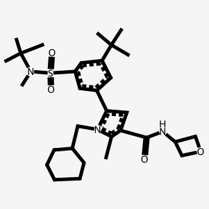 Cc1c(C(=O)NC2COC2)cc(-c2cc(C(C)(C)C)cc(S(=O)(=O)N(C)C(C)(C)C)c2)n1CC1CCCCC1